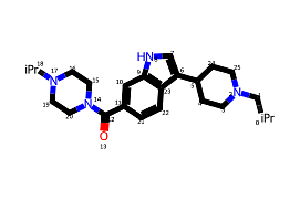 CC(C)CN1CCC(c2c[nH]c3cc(C(=O)N4CCN(C(C)C)CC4)ccc23)CC1